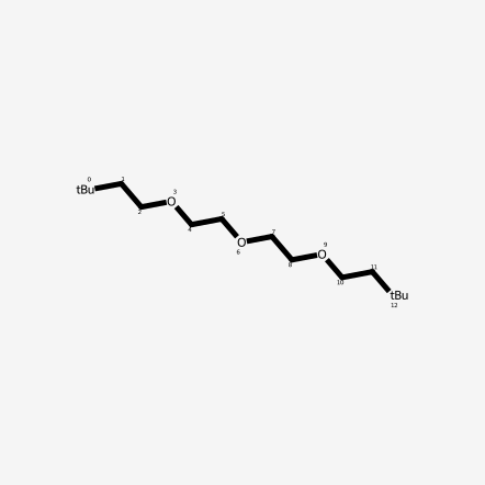 CC(C)(C)CCOCCOCCOCCC(C)(C)C